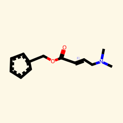 CN(C)C/C=C/C(=O)OCc1ccccc1